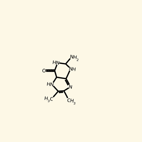 CC1=C(C)NC2C(=O)NC(N)NC2=N1